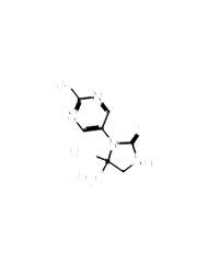 CC1(C)CNC(=O)N1c1cnc(Br)nc1